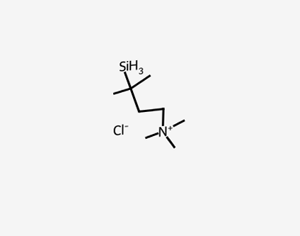 CC(C)([SiH3])CC[N+](C)(C)C.[Cl-]